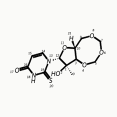 C[C@@]1(O)C2OCOCOC[C@H]2O[C@H]1n1ccc(=O)[nH]c1=S